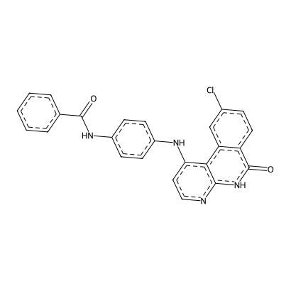 O=C(Nc1ccc(Nc2ccnc3[nH]c(=O)c4ccc(Cl)cc4c23)cc1)c1ccccc1